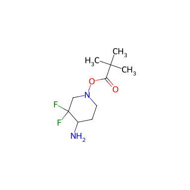 CC(C)(C)C(=O)ON1CCC(N)C(F)(F)C1